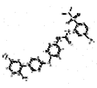 CN(C)S(=O)(=O)c1ccc(C(F)(F)F)cc1NC(=O)Nc1cnc(Oc2ccc(-c3cc(C(F)(F)F)cnc3N)cc2)nc1